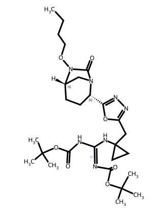 CCCCON1C(=O)N2C[C@@H]1CC[C@H]2c1nnc(CC2(N/C(=N\C(=O)OC(C)(C)C)NC(=O)OC(C)(C)C)CC2)o1